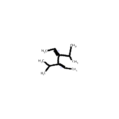 C/C=C(\C(=C/C)C(C)C)C(C)C